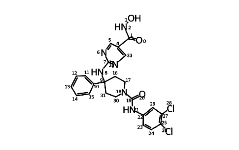 O=C(NO)c1cnc(NC2(c3ccccc3)CCN(C(=O)Nc3ccc(Cl)c(Cl)c3)CC2)nc1